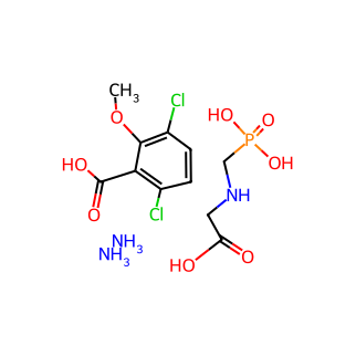 COc1c(Cl)ccc(Cl)c1C(=O)O.N.N.O=C(O)CNCP(=O)(O)O